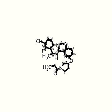 C=CC(=O)N1CC[C@H](Oc2ccc3ncnc(NC(C)c4cccc(Cl)c4F)c3n2)C1